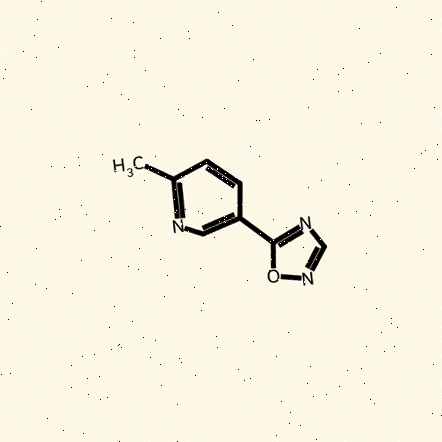 Cc1ccc(-c2ncno2)cn1